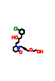 O=C1CCCC(C=CC(O)Cc2cccc(Cl)c2)N1CC#CCOCCO